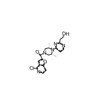 C[C@@H]1CN(C(=O)c2cc3c(Cl)nccc3o2)C[C@H](C)N1c1ccnc(CCO)n1